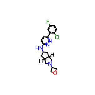 Fc1ccc(Cl)c(-c2ccc(NC3C[C@@H]4CN(C5COC5)C[C@@H]4C3)nn2)c1